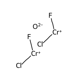 [F][Cr+][Cl].[F][Cr+][Cl].[O-2]